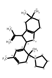 C=C(C)C1C2=C(CCC(C)(C)C2)SC1C1=CC(C(F)(F)F)=CCC1(C)N1CCCC1